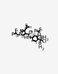 BC(B)(Cl)c1ccc(NC(=O)c2cn(CC(F)F)nc2C2CC2)cc1OC(F)F